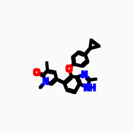 Cc1nc2c(Oc3ccc(C4CC4)cc3)c(-c3cc(C)c(=O)n(C)c3)ccc2[nH]1